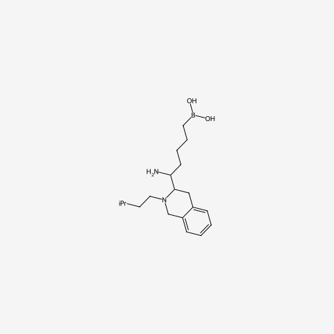 CC(C)CCN1Cc2ccccc2CC1C(N)CCCCB(O)O